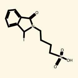 O=C1c2ccccc2C(I)N1CCCCS(=O)(=O)O